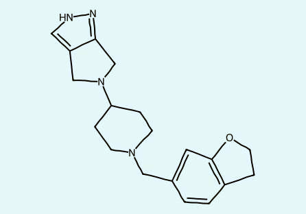 c1cc2c(cc1CN1CCC(N3Cc4c[nH]nc4C3)CC1)OCC2